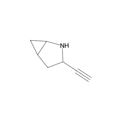 C#CC1CC2CC2N1